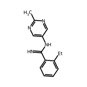 CCc1ccccc1C(=N)Nc1cnc(C)nc1